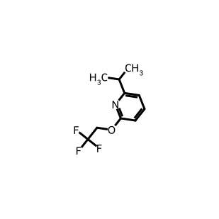 CC(C)c1cccc(OCC(F)(F)F)n1